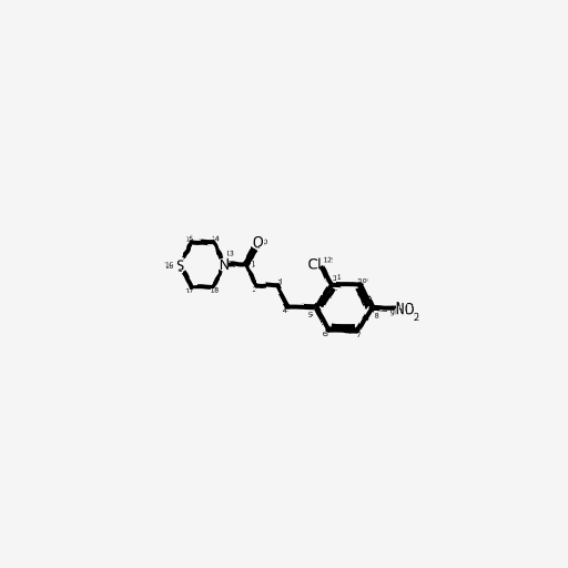 O=C(CCCc1ccc([N+](=O)[O-])cc1Cl)N1CCSCC1